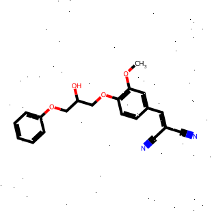 COc1cc(C=C(C#N)C#N)ccc1OCC(O)COc1ccccc1